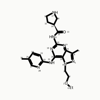 CCOCCn1nc(C)c2nc(NC(=O)[C@H]3CCNC3)nc(Nc3ccc(C)cn3)c21